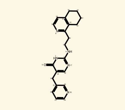 O=c1[nH]c(NCCc2nccc3c2CCCC3)ncc1Cc1cccnc1